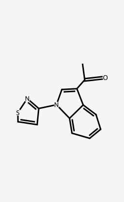 CC(=O)c1cn(-c2ccsn2)c2ccccc12